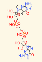 C=CN(c1nc(N)[nH]c(=O)c1NC)C1O[C@H](COP(=O)(O)OCCOP(=O)(O)OCC2OC(n3cnc4c(=O)[nH]c(N)nc43)[C@H](O)[C@@H]2O)C(O)C1O